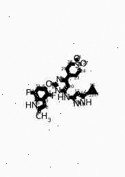 Cc1cc2c(F)c(Oc3nc(Nc4cc(C5CC5)[nH]n4)cc(C4CCS(=O)(=O)CC4)n3)cc(F)c2[nH]1